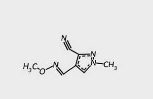 CON=Cc1cn(C)nc1C#N